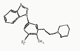 Cc1cc(-n2nnc3ccccc32)cc(CCN2CCCCC2)c1C